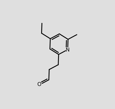 CCc1cc(C)nc(CCC=O)c1